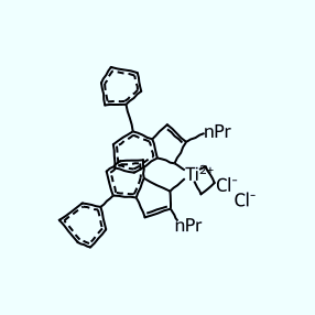 CCCC1=Cc2c(-c3ccccc3)cccc2[CH]1[Ti+2]1([CH]2C(CCC)=Cc3c(-c4ccccc4)cccc32)[CH2]C[CH2]1.[Cl-].[Cl-]